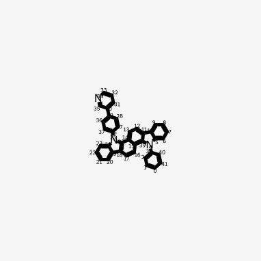 c1ccc(-n2c3ccccc3c3ccc4c(ccc5c6ccccc6n(-c6ccc(-c7cccnc7)cc6)c54)c32)cc1